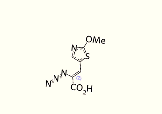 COc1ncc(/C=C(\N=[N+]=[N-])C(=O)O)s1